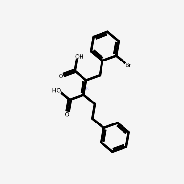 O=C(O)/C(CCc1ccccc1)=C(/Cc1ccccc1Br)C(=O)O